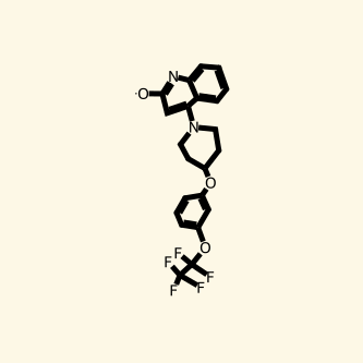 [O]c1cc(N2CCC(Oc3cccc(OC(F)(F)C(F)(F)F)c3)CC2)c2ccccc2n1